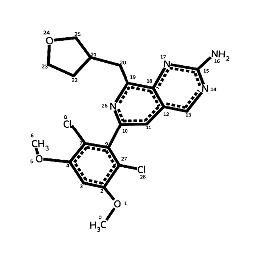 COc1cc(OC)c(Cl)c(-c2cc3cnc(N)nc3c(CC3CCOC3)n2)c1Cl